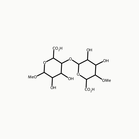 COC1OC(C(=O)O)C(OC2OC(C(=O)O)C(OC)C(O)C2O)C(O)C1O